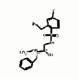 CC(C)Cc1cc(Cl)ccc1S(=O)(=O)NC[C@@H](O)[C@H](Cc1ccccc1)NC(=O)O